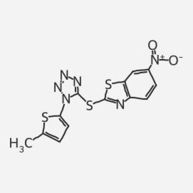 Cc1ccc(-n2nnnc2Sc2nc3ccc([N+](=O)[O-])cc3s2)s1